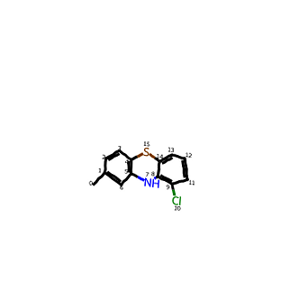 Cc1ccc2c(c1)Nc1c(Cl)cccc1S2